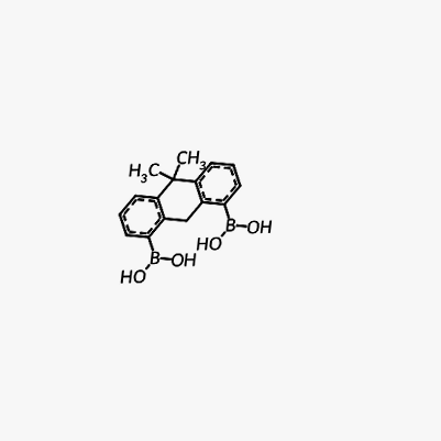 CC1(C)c2cccc(B(O)O)c2Cc2c(B(O)O)cccc21